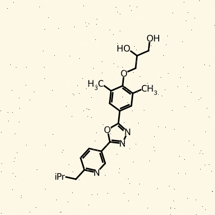 Cc1cc(-c2nnc(-c3ccc(CC(C)C)nc3)o2)cc(C)c1OCC(O)CO